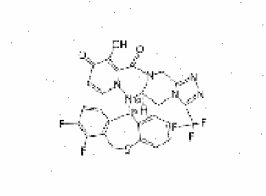 O=C1c2c(O)c(=O)ccn2N([C@@H]2c3ccccc3SCc3c2ccc(F)c3F)[C@@H]2Cn3c(nnc3C(F)(F)F)CN12